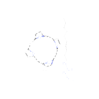 C1=Cc2cc3ccc(cc4nc(cc5ccc(cc1n2)[nH]5)C=C4)[nH]3.CCCCCCCCCCNNNN.[Co]